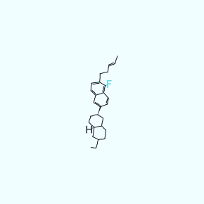 C/C=C/CCc1ccc2cc([C@@H]3CC[C@@H]4CC(CC)CCC4C3)ccc2c1F